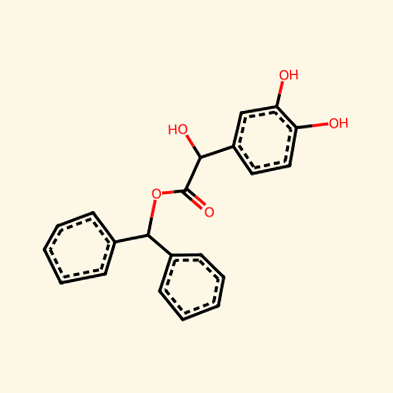 O=C(OC(c1ccccc1)c1ccccc1)C(O)c1ccc(O)c(O)c1